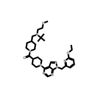 CCOc1cccc(Cn2ncc3c(N4CCC(C(=O)N5CCC(CN(CCOC)C(C)(C)C)CC5)CC4)ncnc32)n1